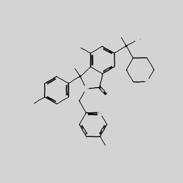 CC(O)(c1cc(F)c2c(c1)C(=O)N(Cc1ccc(Cl)cn1)C2(O)c1ccc(Cl)cc1)C1CCNCC1